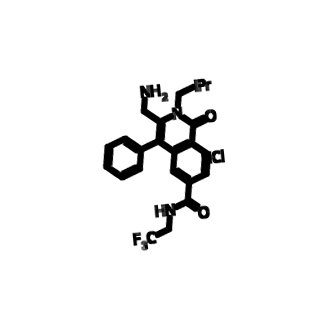 CC(C)Cn1c(CN)c(-c2ccccc2)c2cc(C(=O)NCC(F)(F)F)ccc2c1=O.Cl